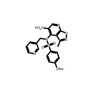 COc1ccc(S(=O)(=O)N(Cc2cccnc2)c2c(C(=O)O)cnc3onc(C)c23)cc1